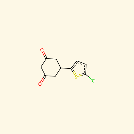 O=C1CC(=O)CC(c2ccc(Cl)s2)C1